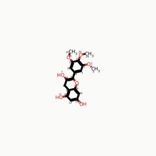 COc1cc(C2=C(O)Cc3c(O)cc(O)cc3O2)cc(OC)c1OC